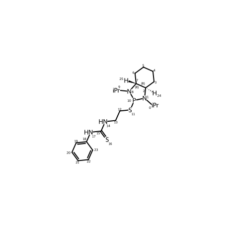 CC(C)N1[C@@H]2CCCC[C@H]2N(C(C)C)P1SCCNC(=S)Nc1ccccc1